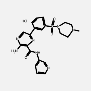 CN1CCN(S(=O)(=O)c2cccc(-c3cnc(N)c(C(=O)Nc4cccnc4)n3)c2)CC1.Cl